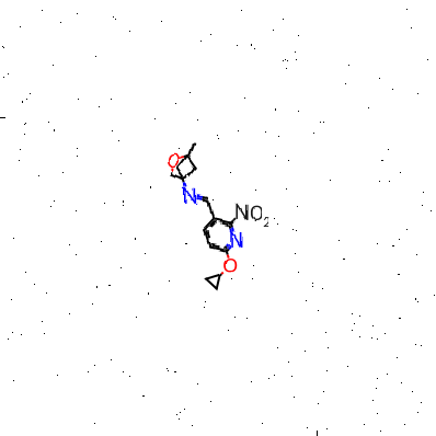 CC12CC(/N=C/c3ccc(OC4CC4)nc3[N+](=O)[O-])(CO1)C2